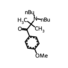 CCCCN(CCCC)C(C)(C)C(=O)c1ccc(OC)cc1